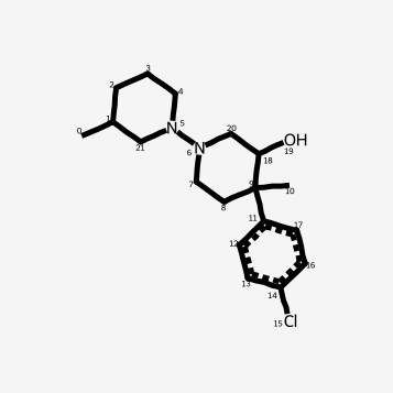 CC1CCCN(N2CCC(C)(c3ccc(Cl)cc3)C(O)C2)C1